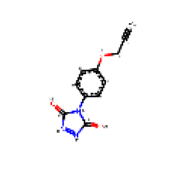 C#CCOc1ccc(N2C(=O)N=NC2=O)cc1